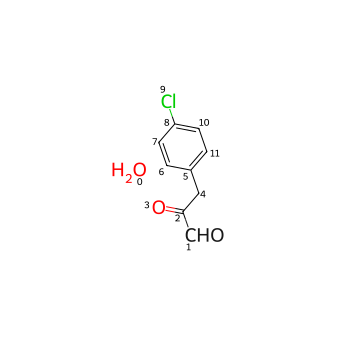 O.O=CC(=O)Cc1ccc(Cl)cc1